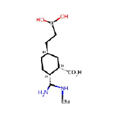 CC(C)(C)NC(N)[C@@H]1CC[C@@H](CCB(O)O)C[C@@H]1C(=O)O